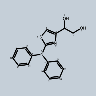 OCC(O)c1csc(N(c2ccccc2)c2ccccc2)n1